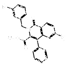 COC(=O)c1c(-c2ccccc2)c2cc(Br)ccc2c(=O)n1Cc1cccc(Br)c1